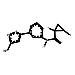 C=C(N(CC)c1cccc(-c2cc(CCC)[nH]n2)c1)C1(CC)CC1F